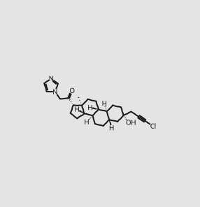 C[C@]12CC[C@H]3[C@@H](CC[C@H]4C[C@](O)(CC#CCl)CC[C@@H]43)[C@@H]1CC[C@@H]2C(=O)Cn1ccnc1